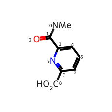 CNC(=O)c1cccc(C(=O)O)n1